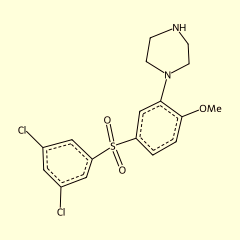 COc1ccc(S(=O)(=O)c2cc(Cl)cc(Cl)c2)cc1N1CCNCC1